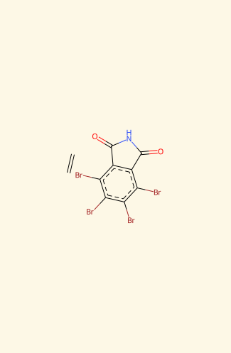 C=C.O=C1NC(=O)c2c(Br)c(Br)c(Br)c(Br)c21